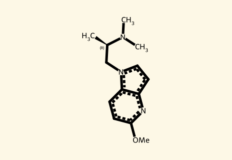 COc1ccc2c(ccn2C[C@@H](C)N(C)C)n1